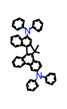 CC1(C)c2cc(N(c3ccccc3)c3ccccc3)c3ccccc3c2-c2c1c1ccc(N(c3ccccc3)c3ccccc3)cc1c1ccccc21